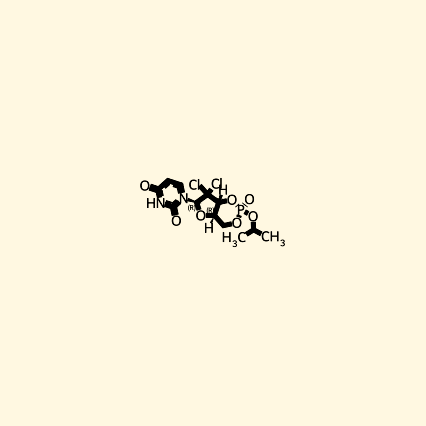 CC(C)OP1(=O)OC[C@H]2O[C@@H](n3ccc(=O)[nH]c3=O)C(Cl)(Cl)[C@@H]2O1